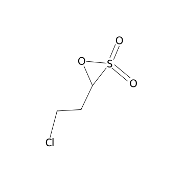 O=S1(=O)OC1CCCl